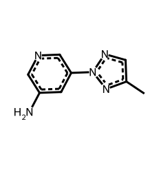 Cc1cnn(-c2cncc(N)c2)n1